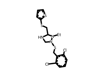 CCN1C(CSc2cccs2)NCN1SCc1c(Cl)cccc1Cl